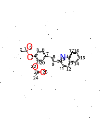 CC(=O)Oc1ccc(C=Cc2ccc3ccccc3n2)cc1OC(C)=O